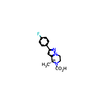 C[C@@H]1c2cc(-c3ccc(F)cc3)nn2CCN1C(=O)O